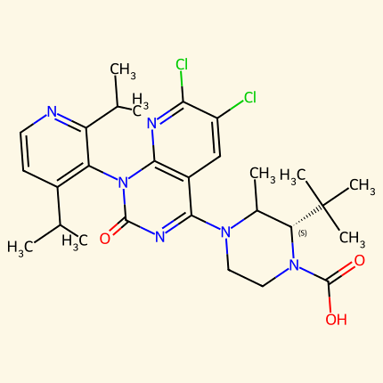 CC(C)c1ccnc(C(C)C)c1-n1c(=O)nc(N2CCN(C(=O)O)[C@@H](C(C)(C)C)C2C)c2cc(Cl)c(Cl)nc21